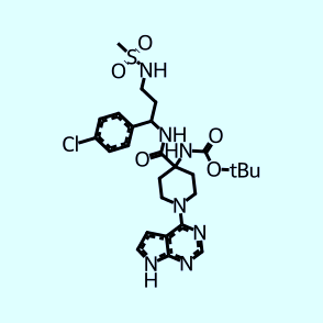 CC(C)(C)OC(=O)NC1(C(=O)NC(CCNS(C)(=O)=O)c2ccc(Cl)cc2)CCN(c2ncnc3[nH]ccc23)CC1